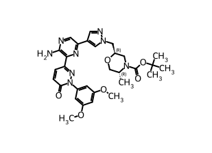 COc1cc(OC)cc(-n2nc(-c3nc(-c4cnn(C[C@H]5CN(C(=O)OC(C)(C)C)[C@H](C)CO5)c4)cnc3N)ccc2=O)c1